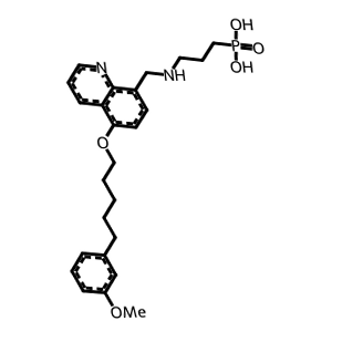 COc1cccc(CCCCCOc2ccc(CNCCCP(=O)(O)O)c3ncccc23)c1